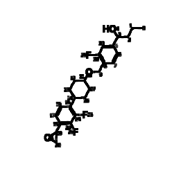 CCCC(O)c1ccc(COC2CCC(c3ccc(C4CO4)c(F)c3F)CC2)c(F)c1